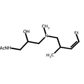 CC/C=C\C(C)CN(C)CC(O)CNC(C)=O